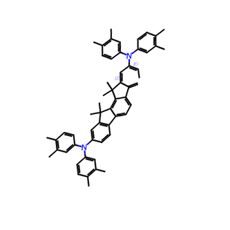 C=C1/C(=C\C(=C/C)N(c2ccc(C)c(C)c2)c2ccc(C)c(C)c2)C(C)(C)c2c1ccc1c2C(C)(C)c2cc(N(c3ccc(C)c(C)c3)c3ccc(C)c(C)c3)ccc2-1